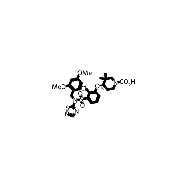 COc1ccc(CN(c2ncns2)S(=O)(=O)c2cccc(O[C@@H]3CCN(C(=O)O)CC3(C)C)c2Cl)c(OC)c1